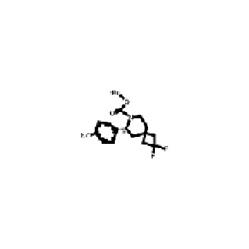 CC(C)(C)OC(=O)N1CCC2(C[C@@H]1c1ccc(C#N)cc1)CC(F)(F)C2